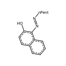 CCCCCN=Nc1c(O)ccc2ccccc12